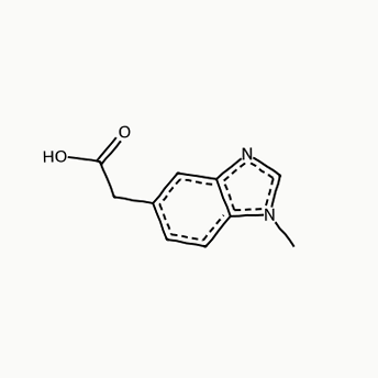 Cn1cnc2cc(CC(=O)O)ccc21